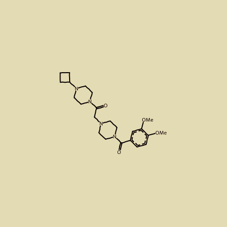 COc1ccc(C(=O)N2CCN(CC(=O)N3CCN(C4CCC4)CC3)CC2)cc1OC